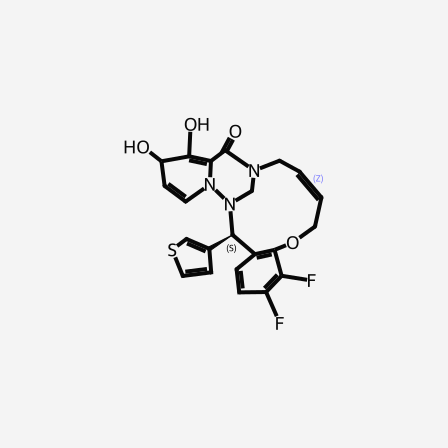 O=C1C2=C(O)C(O)C=CN2N2CN1C/C=C\COc1c(ccc(F)c1F)[C@H]2c1ccsc1